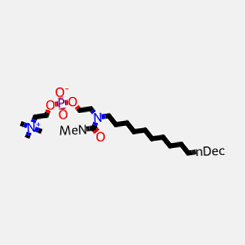 CCCCCCCCCCCCCCCCCCCCN(CCOP(=O)([O-])OCC[N+](C)(C)C)C(=O)NC